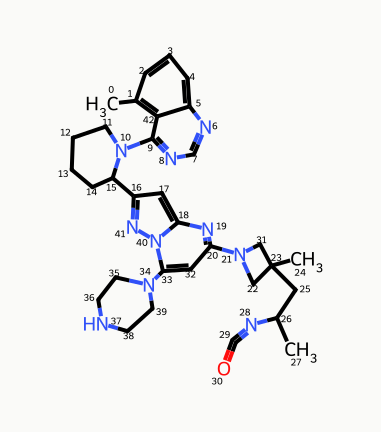 Cc1cccc2ncnc(N3CCCCC3c3cc4nc(N5CC(C)(CC(C)N=C=O)C5)cc(N5CCNCC5)n4n3)c12